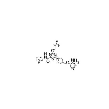 Nc1ncncc1OCC1CCN(c2nc(OCC3CC3(F)F)nc(C(=O)NC3CC(F)(F)C3)n2)CC1